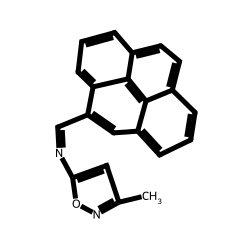 Cc1cc(/N=C\c2cc3cccc4ccc5cccc2c5c43)on1